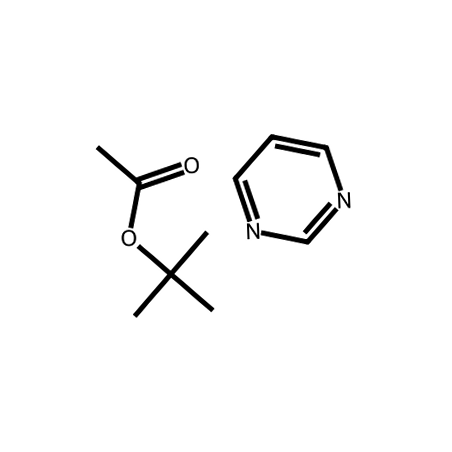 CC(=O)OC(C)(C)C.c1cncnc1